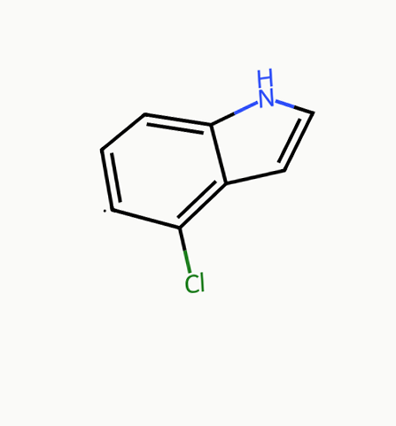 Clc1[c]ccc2[nH]ccc12